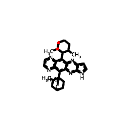 CC1CC2CCC1(c1c3nccnc3c(C34CCC(CC3C)CC4C)c3nc4[nH]ccc4nc13)C(C)C2